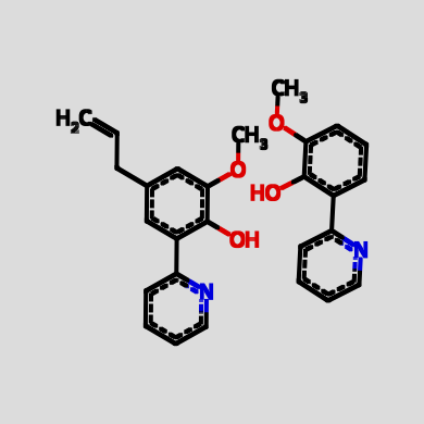 C=CCc1cc(OC)c(O)c(-c2ccccn2)c1.COc1cccc(-c2ccccn2)c1O